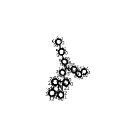 c1ccc(-c2ccc(-c3ccc(N(c4cccc(-c5cccc6c5c5cccc(-c7ccccc7)c5n6-c5ccccc5)c4)c4ccc5c(ccc6ccccc65)c4)cc3)cc2)cc1